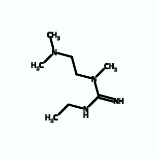 CCNC(=N)N(C)CCN(C)C